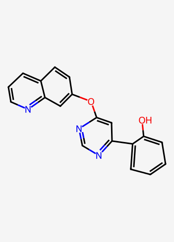 Oc1ccccc1-c1cc(Oc2ccc3cccnc3c2)ncn1